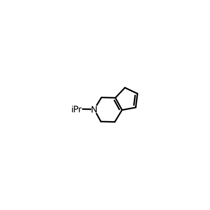 CC(C)N1CCC2=C(CC=C2)C1